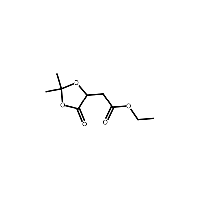 CCOC(=O)CC1OC(C)(C)OC1=O